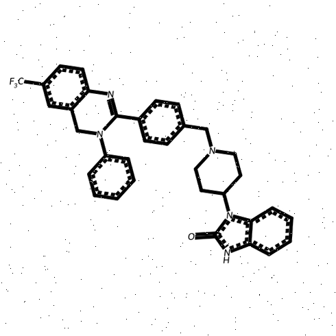 O=c1[nH]c2ccccc2n1C1CCN(Cc2ccc(C3=Nc4ccc(C(F)(F)F)cc4CN3c3ccccc3)cc2)CC1